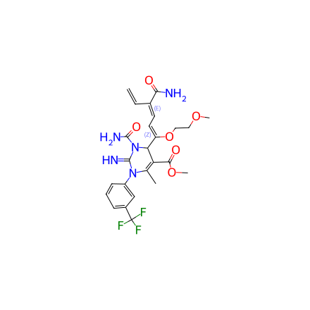 C=C/C(=C\C=C(/OCCOC)C1C(C(=O)OC)=C(C)N(c2cccc(C(F)(F)F)c2)C(=N)N1C(N)=O)C(N)=O